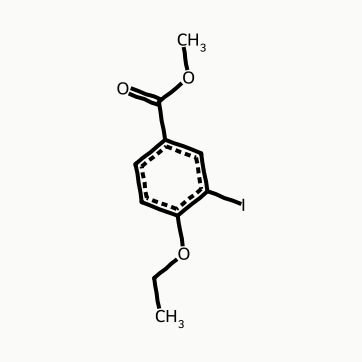 CCOc1ccc(C(=O)OC)cc1I